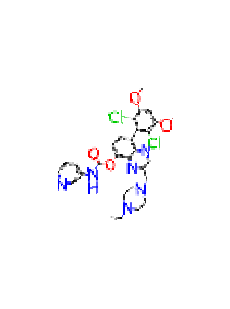 CCN1CCN(Cc2cnc3c(-c4c(Cl)c(OC)cc(OC)c4Cl)ccc(OC(=O)Nc4cccnc4)c3n2)CC1